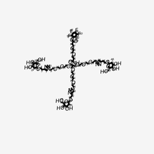 C[C@H]1[C@H](OCCc2cn(CCOCCOCCOCC(COCCOCCOCCn3cc(CCO[C@@H]4O[C@H](CO)[C@H](O)[C@H](O)[C@H]4C)nn3)(COCCOCCOCCn3cc(CCO[C@@H]4O[C@H](CO)[C@H](O)[C@H](O)[C@H]4C)nn3)NC(=O)CCOCCOCCC(=O)Oc3c(F)c(F)c(F)c(F)c3F)nn2)O[C@H](CO)[C@H](O)[C@@H]1O